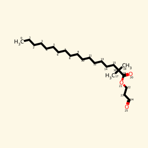 CCCCCCCCCCCCCCCCC(C)(C)C(=O)OCCC=O